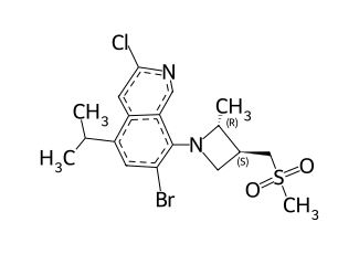 CC(C)c1cc(Br)c(N2C[C@H](CS(C)(=O)=O)[C@H]2C)c2cnc(Cl)cc12